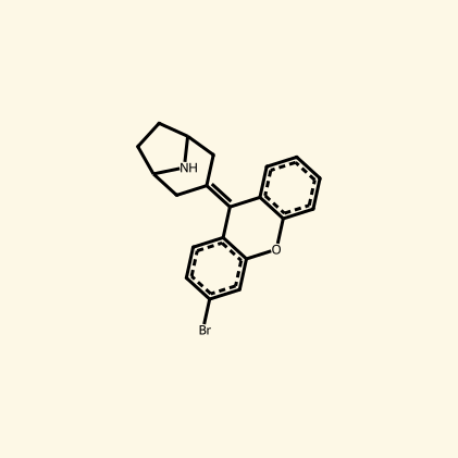 Brc1ccc2c(c1)Oc1ccccc1C2=C1CC2CCC(C1)N2